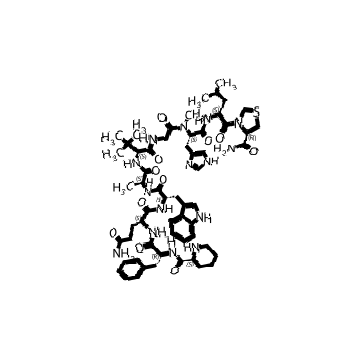 CC(C)C[C@H](NC(=O)[C@H](Cc1c[nH]cn1)N(C)C(=O)CNC(=O)[C@@H](NC(=O)[C@H](C)NC(=O)[C@H](Cc1c[nH]c2ccccc12)NC(=O)[C@H](CCC(N)=O)NC(=O)[C@@H](Cc1ccccc1)NC(=O)[C@@H]1CCCCN1)C(C)(C)C)C(=O)N1CSC[C@H]1C(N)=O